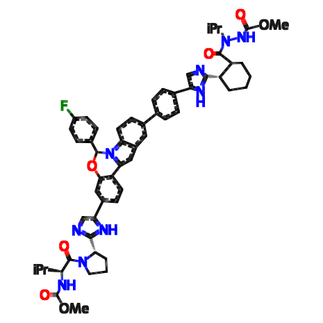 COC(=O)N[C@H](C(=O)N1CCC[C@H]1c1ncc(-c2ccc3c(c2)OC(c2ccc(F)cc2)n2c-3cc3cc(-c4ccc(-c5cnc([C@H]6CCCCC6C(=O)N(NC(=O)OC)C(C)C)[nH]5)cc4)ccc32)[nH]1)C(C)C